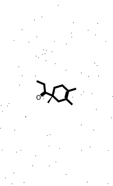 CCC(=O)[C@]1(C)CCC(C)=C(C)C1